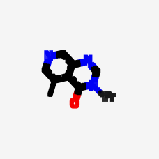 Cc1cncc2ncn(C(C)C)c(=O)c12